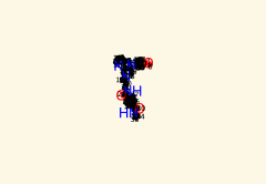 COc1ccc(N(Cc2cccnc2)C2CCN(C(C)CCNC(=O)c3ccc(C(=O)NC(C)C)cc3C)CC2)cc1